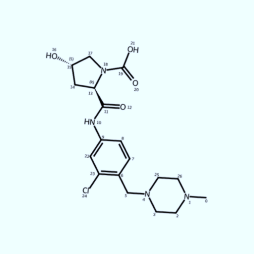 CN1CCN(Cc2ccc(NC(=O)[C@H]3C[C@H](O)CN3C(=O)O)cc2Cl)CC1